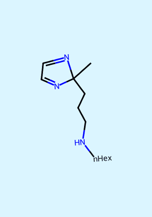 CCCCCCNCCCC1(C)N=CC=N1